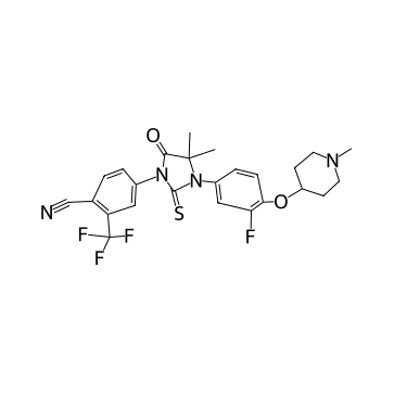 CN1CCC(Oc2ccc(N3C(=S)N(c4ccc(C#N)c(C(F)(F)F)c4)C(=O)C3(C)C)cc2F)CC1